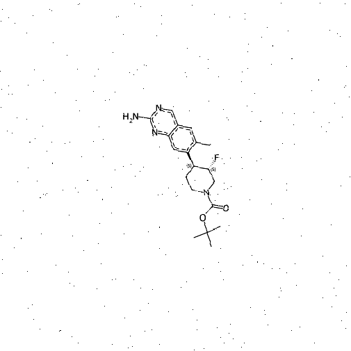 Cc1cc2cnc(N)nc2cc1[C@@H]1CCN(C(=O)OC(C)(C)C)C[C@H]1F